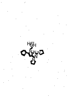 Cl.OCCn1c(-c2ccccc2)cc2c(N3CCCC3)nc(N3CCCC3)nc21